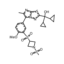 COc1ccc(-c2c(C)nc3sc(C(O)(C4CC4)C4CC4)nn23)cc1S(=O)(=O)C1CN(S(C)(=O)=O)C1